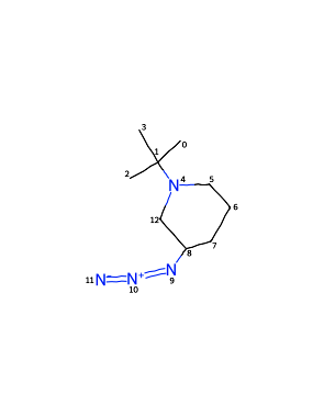 CC(C)(C)N1CCCC(N=[N+]=[N-])C1